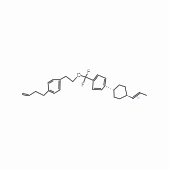 C=CCCc1ccc(CCOC(F)(F)c2ccc([C@H]3CC[C@H](/C=C/C)CC3)cc2)cc1